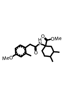 COC(=O)C1(NC(=O)Cc2ccc(OC)cc2C)CCC(C)C(C)C1